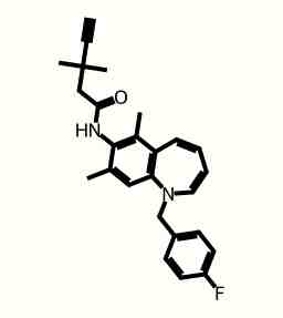 C#CC(C)(C)CC(=O)Nc1c(C)cc2c(c1C)C=CC=CN2Cc1ccc(F)cc1